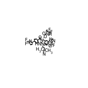 CC(C)(C#N)CCNC(=N)N(C(=O)c1ccc(-c2ccn(C(F)F)n2)cc1)[C@H](COC(=O)NC1(C(F)(F)F)CC1)c1ccc(Cl)c(-n2ncnc2C(F)F)c1